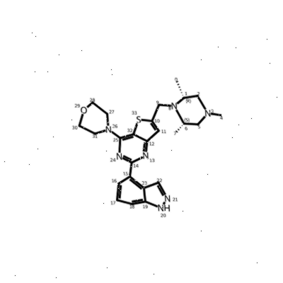 C[C@@H]1CN(C)C[C@H](C)N1Cc1cc2nc(-c3cccc4[nH]ncc34)nc(N3CCOCC3)c2s1